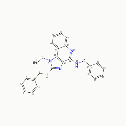 CC(C)Cn1c(SCc2ccccc2)nc2c(NCc3ccccc3)nc3ccccc3c21